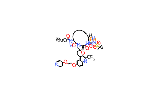 CC(C)COC(=O)N[C@H]1CCCCC/C=C\[C@@H]2P[C@@]2(C(=O)NS(=O)(=O)C2(C)CC2)NC(=O)[C@@H]2C[C@]3(CCc4c(c(C(F)(F)F)nc5ccc(OCCOc6ccncc6)cc45)O3)CN2C1=O